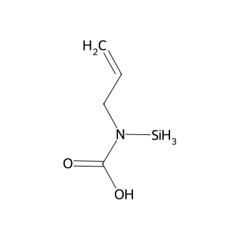 C=CCN([SiH3])C(=O)O